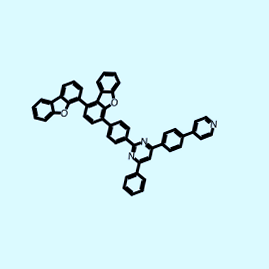 c1ccc(-c2cc(-c3ccc(-c4ccncc4)cc3)nc(-c3ccc(-c4ccc(-c5cccc6c5oc5ccccc56)c5c4oc4ccccc45)cc3)n2)cc1